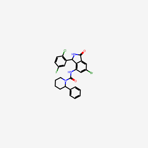 O=C1NC(c2cc(F)ccc2Cl)c2c(NC(=O)N3CCCCC3c3ccccc3)cc(Br)cc21